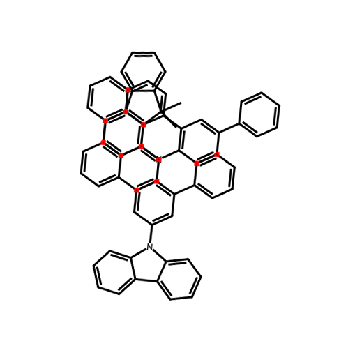 CC1(C)c2ccccc2-c2cccc(N(c3ccc(-n4c5ccccc5c5ccccc54)cc3-c3ccccc3)c3ccc(-c4ccccc4)cc3-c3ccccc3-c3cccc4cccc(-c5ccccc5)c34)c21